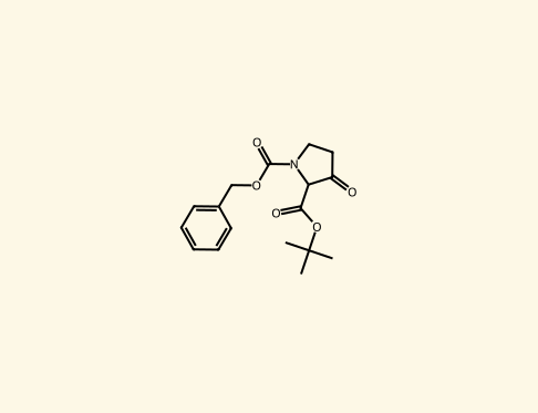 CC(C)(C)OC(=O)C1C(=O)CCN1C(=O)OCc1ccccc1